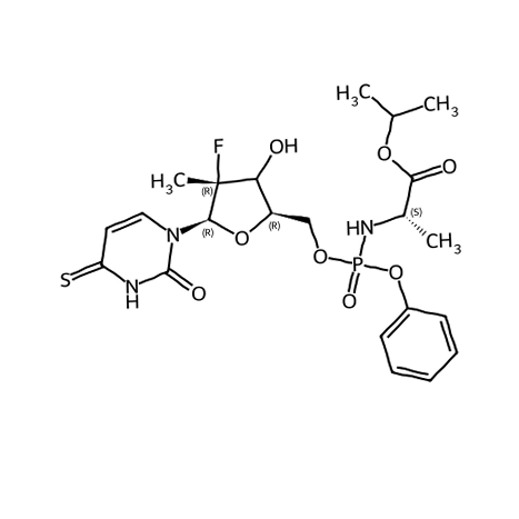 CC(C)OC(=O)[C@H](C)NP(=O)(OC[C@H]1O[C@@H](n2ccc(=S)[nH]c2=O)[C@](C)(F)C1O)Oc1ccccc1